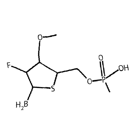 BC1SC(COP(C)(=O)O)C(OC)C1F